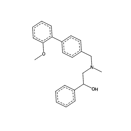 COc1ccccc1-c1ccc(CN(C)CC(O)c2ccccc2)cc1